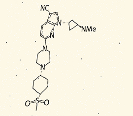 CN[C@H]1C[C@H](n2cc(C#N)c3ccc(N4CCN([C@H]5CC[C@@H](S(C)(=O)=O)CC5)CC4)nc32)C1